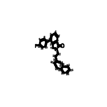 O=C1c2cccc(-c3ccc(F)cc3)c2CN1CCc1ccc2ccccc2n1